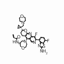 C=CC(=O)N[C@H]1COCCN(c2c3c(nc4c(F)c(-c5ccc(F)c6sc(N)nc56)ncc24)O[C@@H](C2(CN4CCOCC4)CC2)CC3)C1